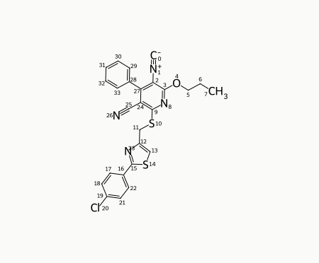 [C-]#[N+]c1c(OCCC)nc(SCc2csc(-c3ccc(Cl)cc3)n2)c(C#N)c1-c1ccccc1